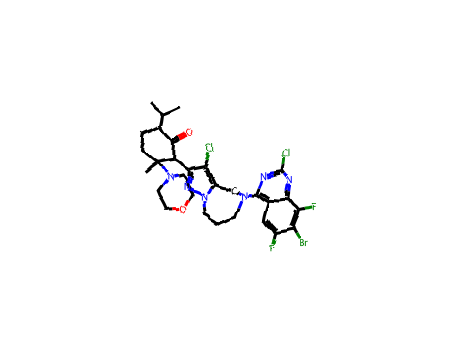 CC(C)C1CCC(C)(N2CCOCC2)C(c2nn3c(c2Cl)CN(c2nc(Cl)nc4c(F)c(Br)c(F)cc24)CCC3)C1=O